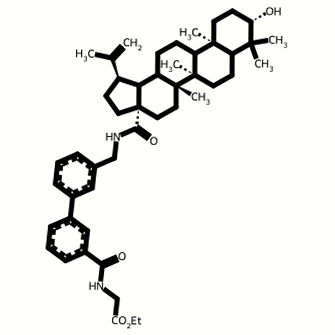 C=C(C)[C@@H]1CC[C@]2(C(=O)NCc3cccc(-c4cccc(C(=O)NCC(=O)OCC)c4)c3)CC[C@]3(C)C(CCC4[C@@]5(C)CC[C@H](O)C(C)(C)C5CC[C@]43C)C12